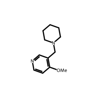 COc1ccncc1CN1CCCCC1